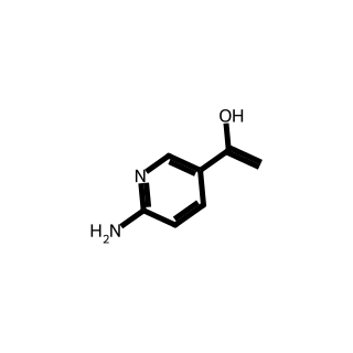 C=C(O)c1ccc(N)nc1